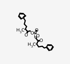 C[C@@H](CCCc1ccccc1)C(=O)CO[PH](=O)OCC(=O)[C@@H](C)CCCc1ccccc1